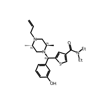 C=CCN1C[C@@H](C)N([C@H](c2cccc(O)c2)c2cc(C(=O)N(CC)CC)cs2)C[C@@H]1C